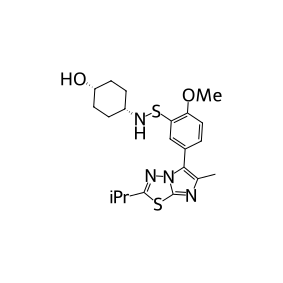 COc1ccc(-c2c(C)nc3sc(C(C)C)nn23)cc1SN[C@H]1CC[C@@H](O)CC1